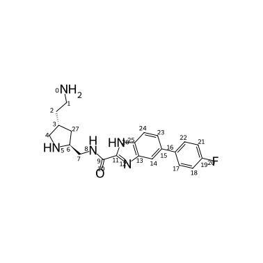 NCC[C@H]1CN[C@H](CNC(=O)c2nc3cc(-c4ccc(F)cc4)ccc3[nH]2)C1